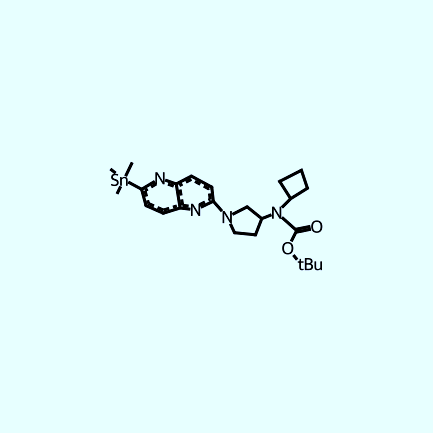 CC(C)(C)OC(=O)N(C1CCC1)C1CCN(c2ccc3n[c]([Sn]([CH3])([CH3])[CH3])ccc3n2)C1